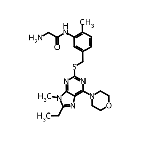 CCc1nc2c(N3CCOCC3)nc(SCc3ccc(C)c(NC(=O)CN)c3)nc2n1C